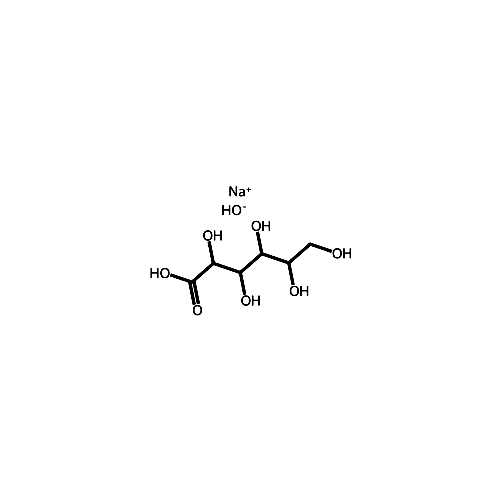 O=C(O)C(O)C(O)C(O)C(O)CO.[Na+].[OH-]